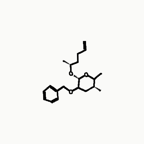 C=CCC[C@@H](C)O[C@@H]1OC(C)[C@H](C)CC1OCc1ccccc1